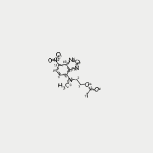 CN(CCOC(=O)I)c1ccc([N+](=O)[O-])c2nonc12